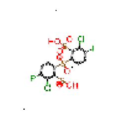 O=S(=O)(O)c1c(S(=O)(=O)c2ccc(F)c(Cl)c2S(=O)(=O)O)ccc(F)c1Cl